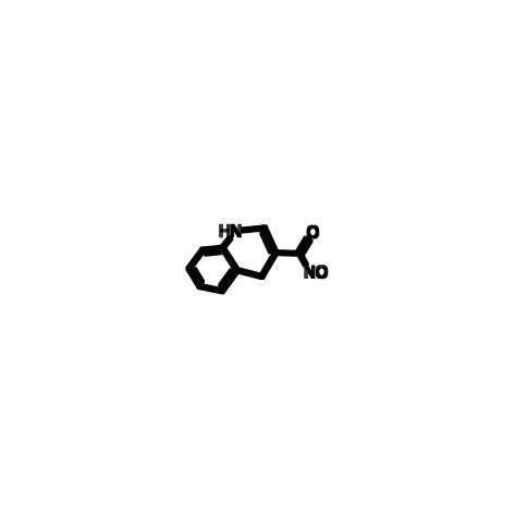 O=NC(=O)C1=CNc2ccccc2C1